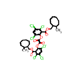 CC1CCCCCCC1COC(=O)c1c(Cl)c(Cl)cc(Cl)c1OC(=O)C(=O)Oc1c(Cl)cc(Cl)c(Cl)c1C(=O)OCC1CCCCCCC1C